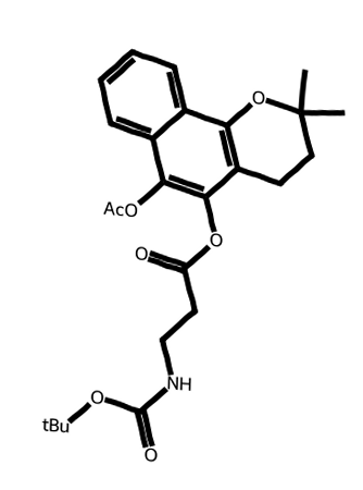 CC(=O)Oc1c(OC(=O)CCNC(=O)OC(C)(C)C)c2c(c3ccccc13)OC(C)(C)CC2